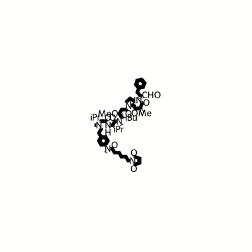 CCC(C)[C@@H]([C@@H](CC(=O)N1CCC[C@H]1[C@H](OC)[C@@H](C)C(=O)N[C@H](C=O)Cc1ccccc1)OC)N(C)C(=O)[C@@H](NC(=O)[C@H](C(C)C)N(C)CCc1ccc(N(C)C(=O)CCCCCN2C(=O)C=CC2=O)cc1)C(C)C